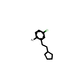 CC(=O)c1ccc(Cl)cc1CCC1CCCC1